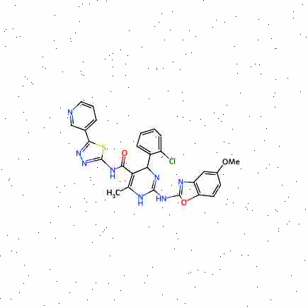 COc1ccc2oc(NC3=NC(c4ccccc4Cl)C(C(=O)Nc4nnc(-c5cccnc5)s4)=C(C)N3)nc2c1